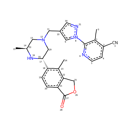 Cc1c(C#N)ccnc1-n1cc(CN2C[C@H](C)N[C@@H](c3ccc4c(c3C)COC4=O)C2)cn1